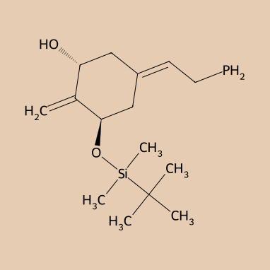 C=C1[C@H](O)C/C(=C/CP)C[C@H]1O[Si](C)(C)C(C)(C)C